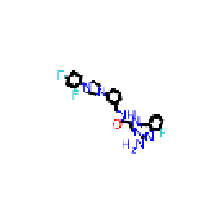 Nc1nc2c(F)cccc2c2nc(C(=O)NCc3cccc(N4CCN(c5ccc(F)cc5F)CC4)c3)cn12